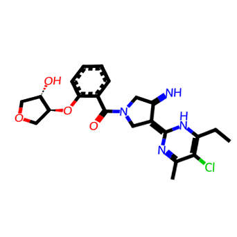 CCC1=C(Cl)C(C)=N/C(=C2\CN(C(=O)c3ccccc3O[C@H]3COC[C@@H]3O)CC2=N)N1